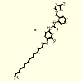 CCCCCCCCCCCCCCOc1ccc(NC(=O)Nc2ccccc2C[n+]2csc(C)c2)cc1Cl.[Br-]